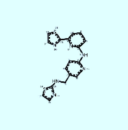 c1cc(Nc2ccc(CNc3nccs3)cn2)nc(-c2nccs2)c1